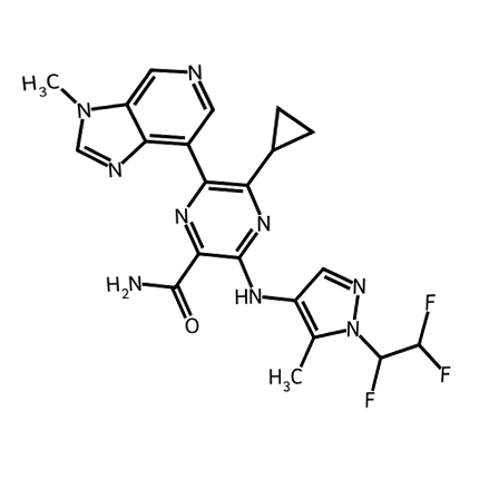 Cc1c(Nc2nc(C3CC3)c(-c3cncc4c3ncn4C)nc2C(N)=O)cnn1C(F)C(F)F